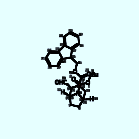 CC(C)(C)OC(=O)N1[C@H]2CC[C@@H]1[C@@H](C=O)N(C(=O)OCC1c3ccccc3-c3ccccc31)C2